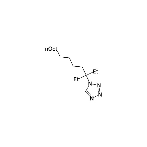 CCCCCCCCCCCCC(CC)(CC)n1cnnn1